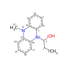 CCC(O)N1c2ccccc2N(C)c2ccccc21